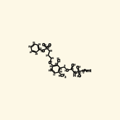 CCCCCS(=O)(=O)NC(=O)OCc1c(C(F)(F)F)cnc(OCCCS(=O)(=O)Oc2ccccc2)c1Cl